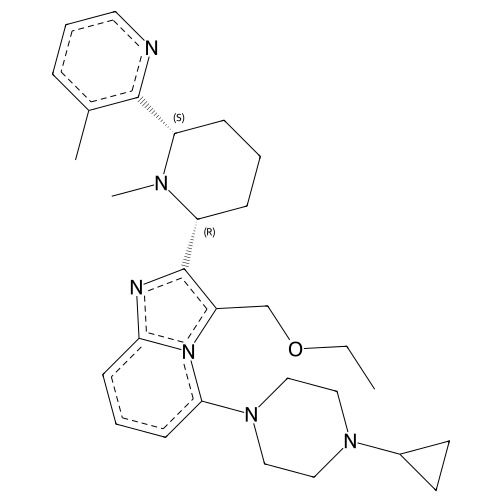 CCOCc1c([C@H]2CCC[C@@H](c3ncccc3C)N2C)nc2cccc(N3CCN(C4CC4)CC3)n12